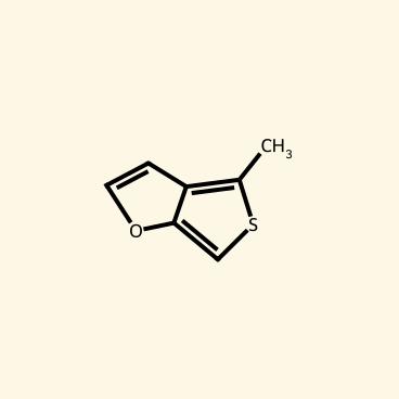 Cc1scc2occc12